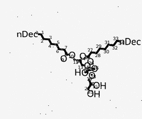 CCCCCCCCCCCCCCCCCC(=O)OC[C@H](COP(=O)(O)OC[C@H](O)CO)OC(=O)CCCCCCCCCCCCCCCCC